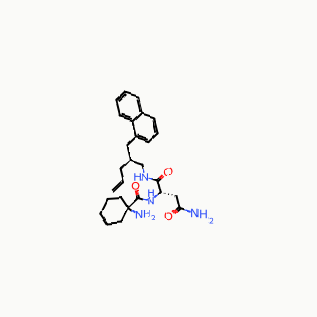 C=CC[C@H](CNC(=O)[C@H](CC(N)=O)NC(=O)C1(N)CCCCC1)Cc1cccc2ccccc12